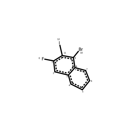 Fc1cc2ccccc2c(Br)c1I